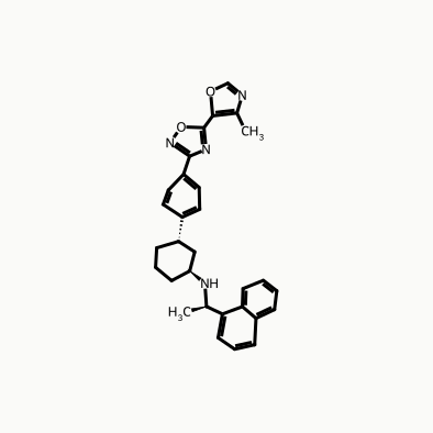 Cc1ncoc1-c1nc(-c2ccc([C@H]3CCC[C@H](N[C@H](C)c4cccc5ccccc45)C3)cc2)no1